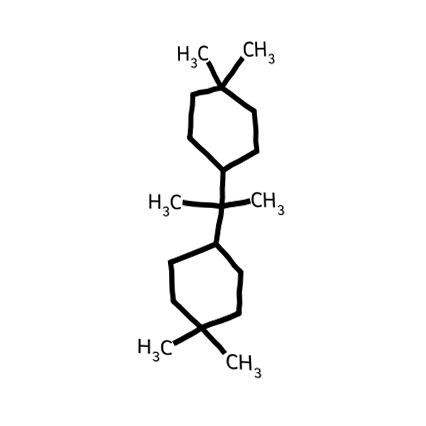 CC1(C)CCC(C(C)(C)C2CCC(C)(C)CC2)CC1